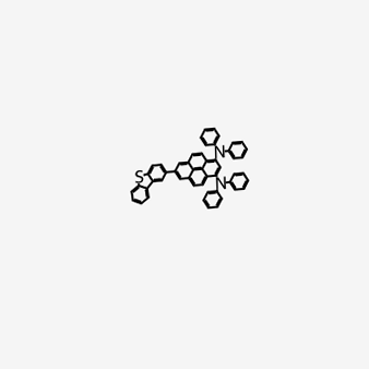 c1ccc(N(c2ccccc2)c2cc(N(c3ccccc3)c3ccccc3)c3ccc4cc(-c5ccc6sc7ccccc7c6c5)cc5ccc2c3c54)cc1